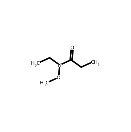 CCC(=O)N(CC)OC